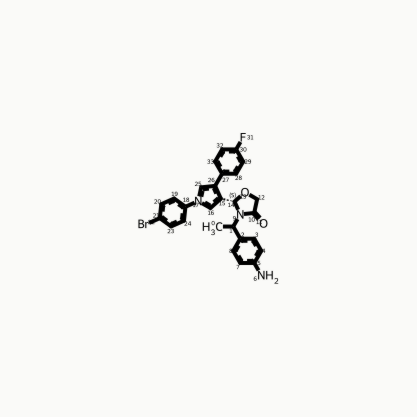 CC(c1ccc(N)cc1)N1C(=O)CO[C@H]1c1cn(-c2ccc(Br)cc2)cc1-c1ccc(F)cc1